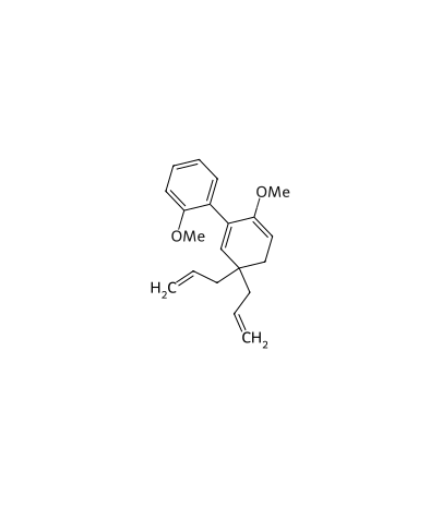 C=CCC1(CC=C)C=C(c2ccccc2OC)C(OC)=CC1